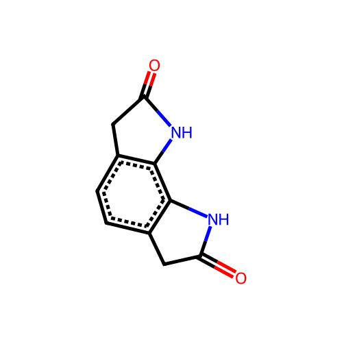 O=C1Cc2ccc3c(c2N1)NC(=O)C3